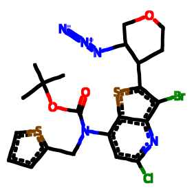 CC(C)(C)OC(=O)N(Cc1cccs1)c1cc(Cl)nc2c(Br)c(C3CCOCC3N=[N+]=[N-])sc12